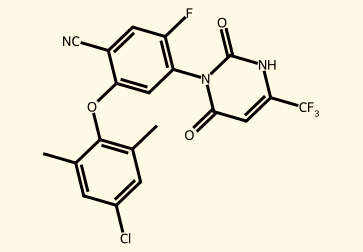 Cc1cc(Cl)cc(C)c1Oc1cc(-n2c(=O)cc(C(F)(F)F)[nH]c2=O)c(F)cc1C#N